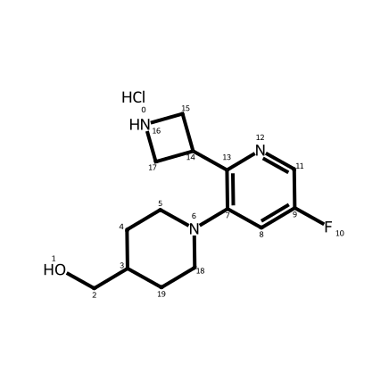 Cl.OCC1CCN(c2cc(F)cnc2C2CNC2)CC1